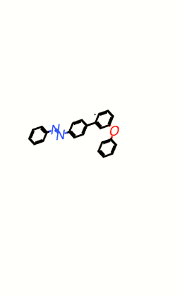 [c]1ccc(Oc2ccccc2)cc1-c1ccc(N=Nc2ccccc2)cc1